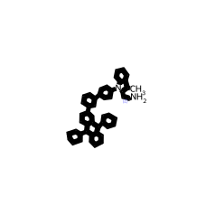 Cc1c(/C=C\N)n(-c2ccc(-c3cccc(-c4ccc5c(-c6ccccc6)c6ccccc6c(-c6ccccc6)c5c4)c3)cc2)c2ccccc12